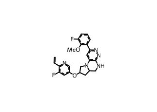 C=Cc1ncc(OC2CC3CNc4nnc(-c5cccc(F)c5OC)cc4N3C2)cc1F